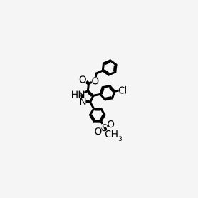 CS(=O)(=O)c1ccc(-c2n[nH]c(C(=O)OCc3ccccc3)c2-c2ccc(Cl)cc2)cc1